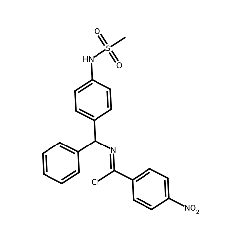 CS(=O)(=O)Nc1ccc(C(N=C(Cl)c2ccc([N+](=O)[O-])cc2)c2ccccc2)cc1